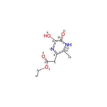 CCOC(=O)Cc1nc(O)c(=O)[nH]c1C